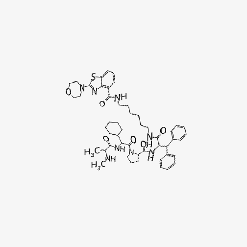 CNC(C)C(=O)NC(C(=O)N1CCCC1C(=O)NC(C(=O)NCCCCCCNC(=O)c1cccc2sc(N3CCOCC3)nc12)C(c1ccccc1)c1ccccc1)C1CCCCC1